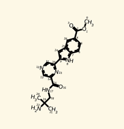 COC(=O)c1ccc2[nH]c(-c3cncc(C(=O)NCC(C)(C)N)n3)cc2c1